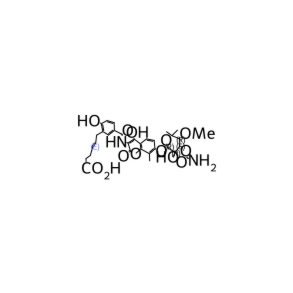 CO[C@@H]1[C@@H](OC(N)=O)[C@@H](O)[C@H](Oc2ccc3c(O)c(NC(=O)c4ccc(O)c(C/C=C/CCC(=O)O)c4)c(=O)oc3c2C)OC1(C)C